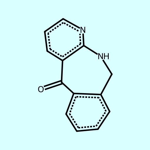 O=C1c2ccccc2CNc2ncccc21